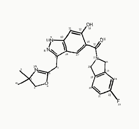 CC1(C)COC(Cc2n[nH]c3cc(O)c(C(=O)N4Cc5ccc(F)cc5C4)cc23)=N1